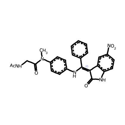 CC(=O)NCC(=O)N(C)c1ccc(N/C(=C2\C(=O)Nc3ccc([N+](=O)[O-])cc32)c2ccccc2)cc1